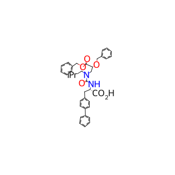 CC(C)CN(CC(OCc1ccccc1)C(=O)OCc1ccccc1)C(=O)N[C@@H](Cc1ccc(-c2ccccc2)cc1)C(=O)O